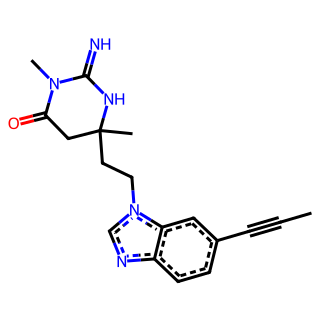 CC#Cc1ccc2ncn(CCC3(C)CC(=O)N(C)C(=N)N3)c2c1